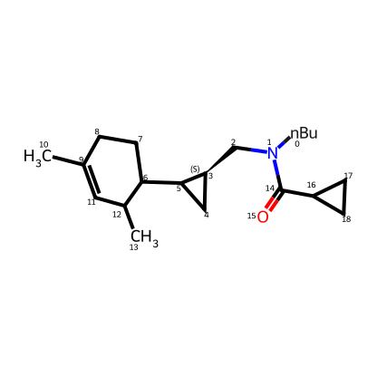 CCCCN(C[C@H]1CC1C1CCC(C)=CC1C)C(=O)C1CC1